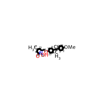 COc1ccc(C(C)(C)c2ccc(OCc3cc(C)cc(=O)n3O)cc2)cc1